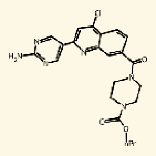 CCCOC(=O)N1CCN(C(=O)c2ccc3c(Cl)cc(-c4cnc(N)nc4)nc3c2)CC1